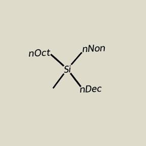 CCCCCCCCCC[Si](C)(CCCCCCCC)CCCCCCCCC